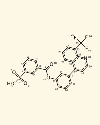 CS(=O)(=O)c1cccc(C(=O)Oc2cccc(-c3ccnc4c(C(F)(F)F)cccc34)c2)c1